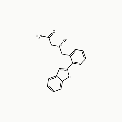 NC(=O)C[S+]([O-])Cc1ccccc1-c1cc2ccccc2o1